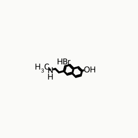 Br.CNCCc1ccc2cc(O)ccc2c1